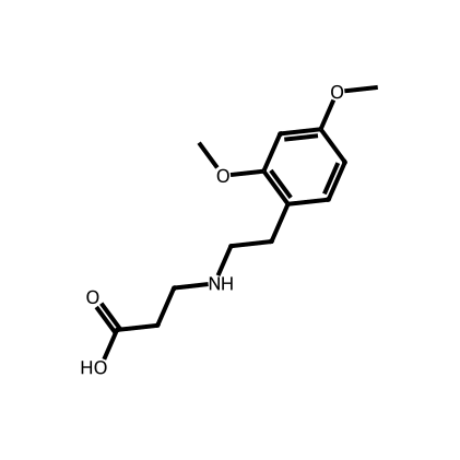 COc1ccc(CCNCCC(=O)O)c(OC)c1